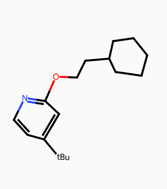 CC(C)(C)c1ccnc(OCCC2CCCCC2)c1